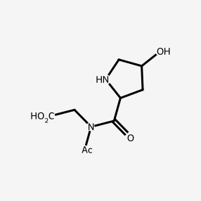 CC(=O)N(CC(=O)O)C(=O)C1CC(O)CN1